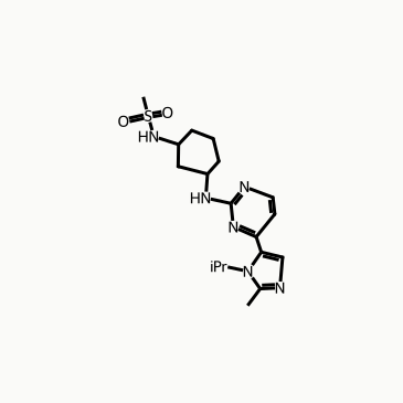 Cc1ncc(-c2ccnc(NC3CCCC(NS(C)(=O)=O)C3)n2)n1C(C)C